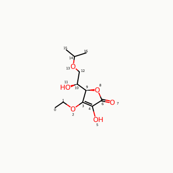 CCOC1=C(O)C(=O)O[C@@H]1[C@@H](O)COC(C)C